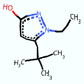 CCn1nc(O)cc1C(C)(C)C